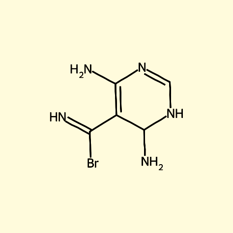 N=C(Br)C1=C(N)N=CNC1N